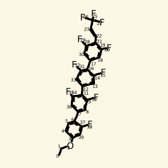 CCOc1ccc(-c2cc(F)c(-c3cc(F)c(-c4cc(F)c(/C=C/C(F)(F)F)c(F)c4)c(F)c3)c(F)c2)c(F)c1